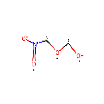 O=[N+]([O-])COCO